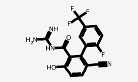 N#Cc1ccc(O)c(C(=O)NC(=N)N)c1-c1cc(C(F)(F)F)ccc1F